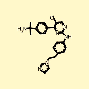 CC(C)(N)c1ccc(-c2nc(Nc3ccc(CCn4ccnc4)cc3)ncc2Cl)cc1